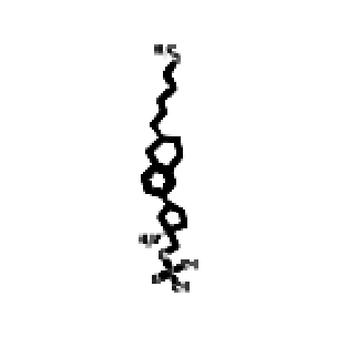 COCCCCC[C@H]1CCc2cc([C@H]3CC[C@@](N)(COP(=O)(O)O)C3)ccc2C1